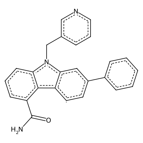 NC(=O)c1cccc2c1c1[c]cc(-c3ccccc3)cc1n2Cc1cccnc1